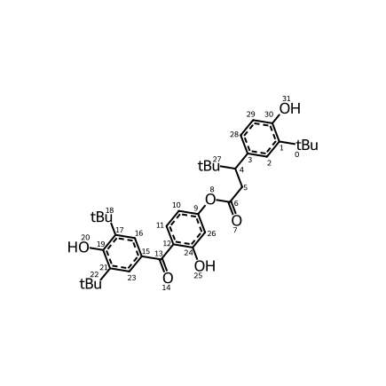 CC(C)(C)c1cc(C(CC(=O)Oc2ccc(C(=O)c3cc(C(C)(C)C)c(O)c(C(C)(C)C)c3)c(O)c2)C(C)(C)C)ccc1O